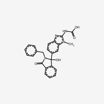 Cn1c(NC(=O)O)nc2ccc(C3(O)c4ccccc4C(=O)N3Cc3ccccc3)cc21